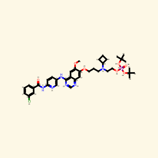 COc1cc2c(Nc3ccc(NC(=O)c4cccc(Cl)c4)nc3)ncnc2cc1OCCCN(CCOP(=O)(OC(C)(C)C)OC(C)(C)C)C1CCC1